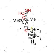 COc1cc(CCC(=O)c2sc(C)c3c2C[C@@H]2[C@H]3C2(C)C)cc(OC)c1OC[C@H](O)CO